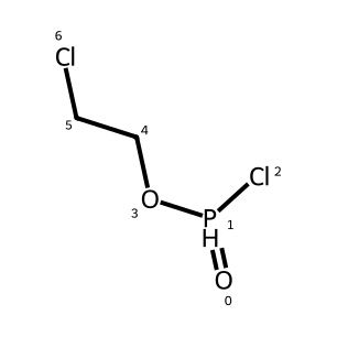 O=[PH](Cl)OCCCl